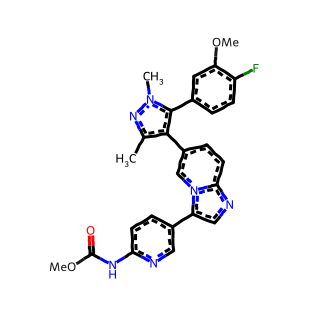 COC(=O)Nc1ccc(-c2cnc3ccc(-c4c(C)nn(C)c4-c4ccc(F)c(OC)c4)cn23)cn1